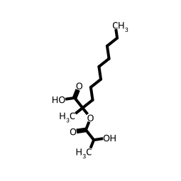 CCCCCCCCC(C)(OC(=O)C(C)O)C(=O)O